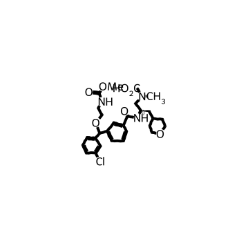 COC(=O)NCCOC(c1cccc(Cl)c1)c1cccc(C(=O)N[C@H](CC2CCOCC2)CN(C)C(=O)O)c1